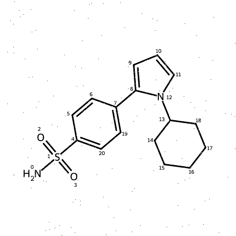 NS(=O)(=O)c1ccc(-c2cccn2C2CCCCC2)cc1